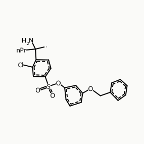 [CH2]C(N)(CCC)c1ccc(S(=O)(=O)Oc2cccc(OCc3ccccc3)c2)cc1Cl